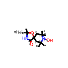 CCCCCCC1(C)NC(=O)C2(CC(C)(C)N(O)C(C)(C)C2)O1